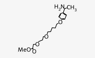 COC(=O)COCCCOCCCCCOc1ccc(C(C)N)cc1